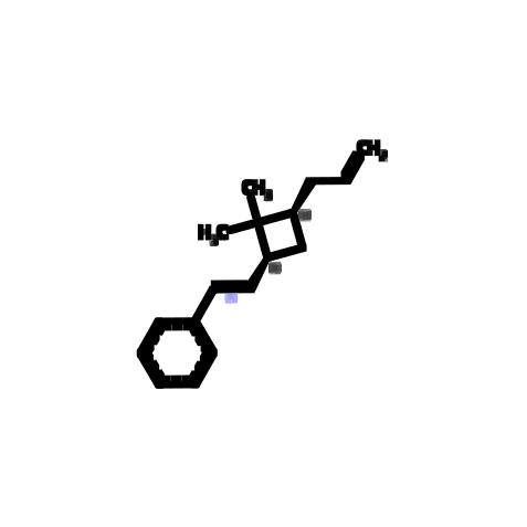 C=CC[C@H]1C[C@@H](/C=C/c2ccccc2)C1(C)C